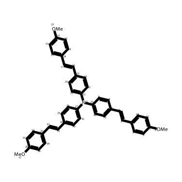 COc1ccc(/C=C/c2ccc(N(c3ccc(/C=C/c4ccc(OC)cc4)cc3)c3ccc(/C=C/c4ccc(OC)cc4)cc3)cc2)cc1